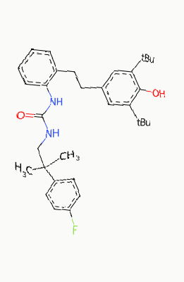 CC(C)(C)c1cc(CCc2ccccc2NC(=O)NCC(C)(C)c2ccc(F)cc2)cc(C(C)(C)C)c1O